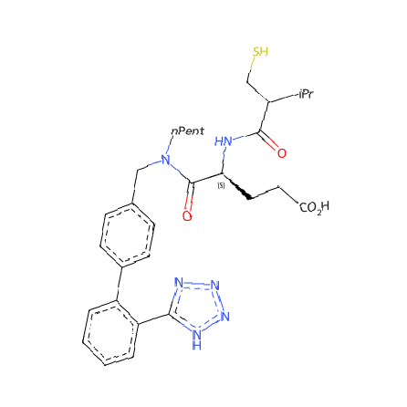 CCCCCN(Cc1ccc(-c2ccccc2-c2nnn[nH]2)cc1)C(=O)[C@H](CCC(=O)O)NC(=O)C(CS)C(C)C